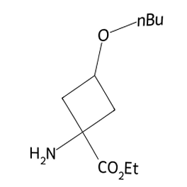 CCCCOC1CC(N)(C(=O)OCC)C1